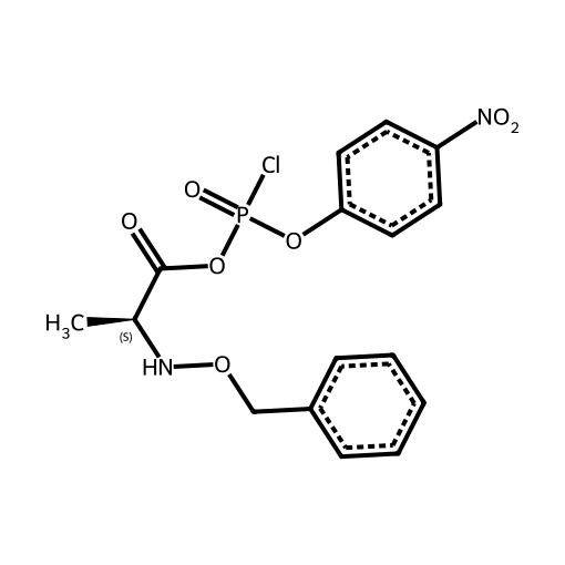 C[C@H](NOCc1ccccc1)C(=O)OP(=O)(Cl)Oc1ccc([N+](=O)[O-])cc1